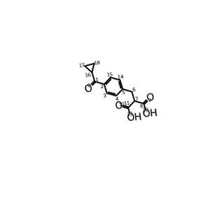 O=C(c1ccc(CC(C(=O)O)C(=O)O)cc1)C1CC1